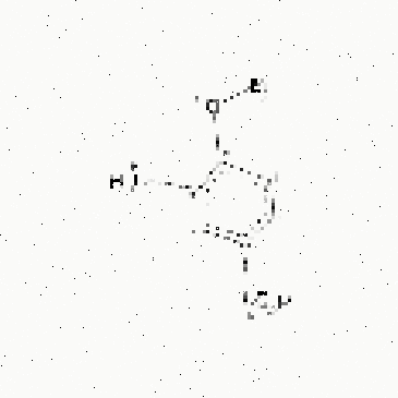 CCOc1ccc(C(=O)O)cc1C